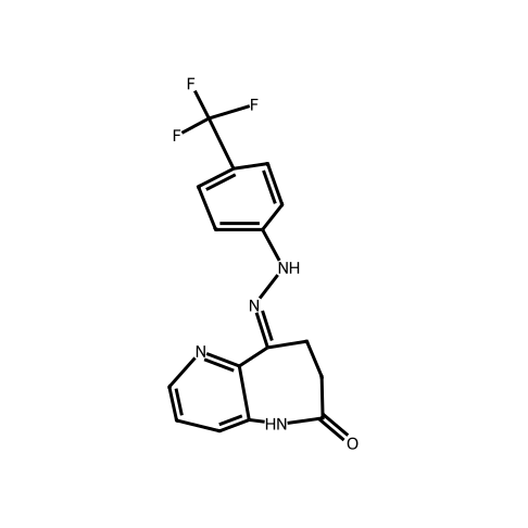 O=C1CCC(=NNc2ccc(C(F)(F)F)cc2)c2ncccc2N1